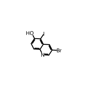 Oc1ccc2ncc(Br)cc2c1I